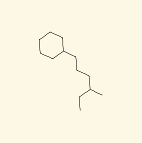 CCC(C)CCCC1CCCCC1